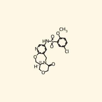 COc1ccc(Cl)cc1S(=O)(=O)Nc1cnc2c(c1)CN1C(=O)COC[C@H]1CO2